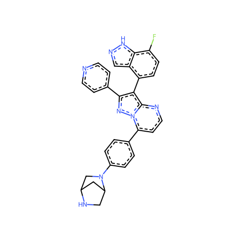 Fc1ccc(-c2c(-c3ccncc3)nn3c(-c4ccc(N5CC6CC5CN6)cc4)ccnc23)c2cn[nH]c12